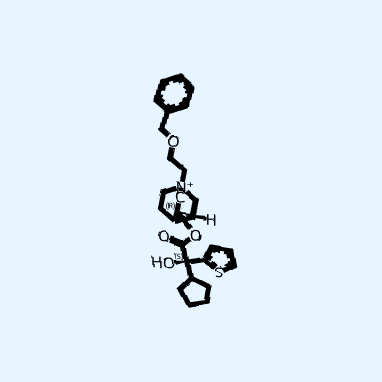 O=C(O[C@H]1C[N+]2(CCOCc3ccccc3)CCC1CC2)[C@](O)(c1cccs1)C1CCCC1